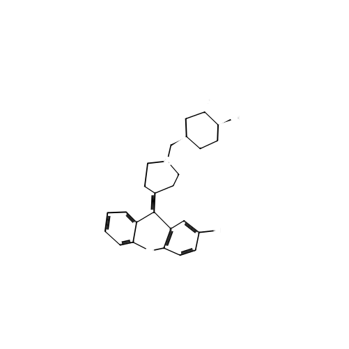 O[C@H]1CC[C@@H](CN2CCC(=C3c4ccccc4Oc4ccc(Cl)cc43)CC2)C[C@@H]1O